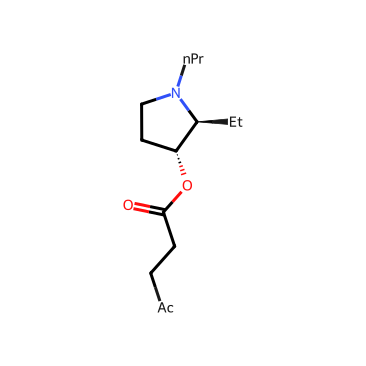 CCCN1CC[C@@H](OC(=O)CCC(C)=O)[C@@H]1CC